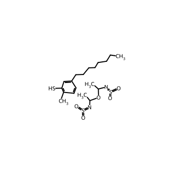 CC(N=S(=O)=O)OC(C)N=S(=O)=O.CCCCCCCCc1ccc(C)c(S)c1